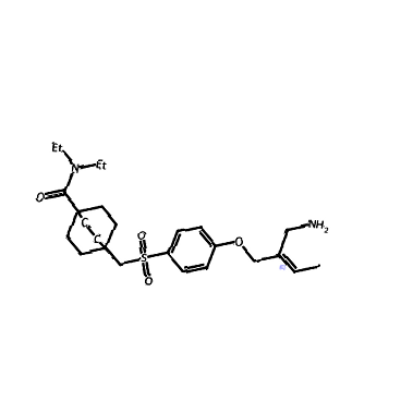 C/C=C(\CN)COc1ccc(S(=O)(=O)CC23CCC(C(=O)N(CC)CC)(CC2)CC3)cc1